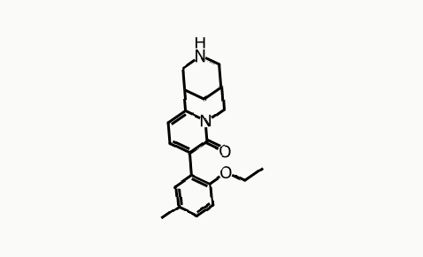 CCOc1ccc(C)cc1-c1ccc2n(c1=O)CC1CNCC2C1